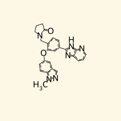 Cn1ncc2cc(Oc3cc(-c4nc5cccnc5[nH]4)ccc3CN3CCCC3=O)ccc21